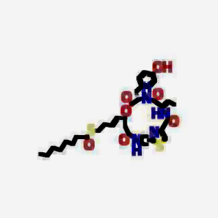 C/C=C1\NC(=O)c2csc(n2)CNC(=O)C[C@@H](/C=C/CCSC(=O)CCCCCCC)OC(=O)[C@H](Cc2ccc(O)cc2)NC1=O